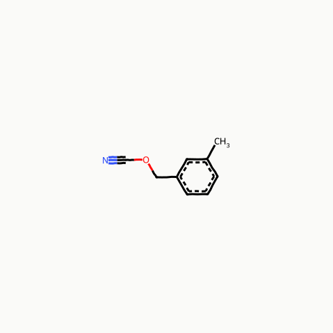 Cc1cccc(COC#N)c1